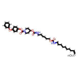 CCCCCCCC/C=C\CCCCCCCCNC(=O)OCCCCCCNC(=O)OC1CCN(C(=O)Oc2ccc(Oc3ccccc3)cc2)CC1